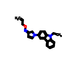 C=CCON=C1C=CN(c2ccc3c(c2)c2ccccc2n3CC)C1